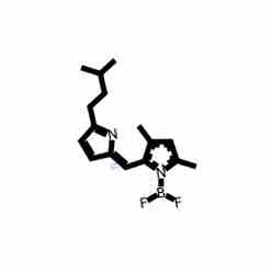 Cc1cc(C)n(B(F)F)c1/C=C1/C=CC(CCC(C)C)=N1